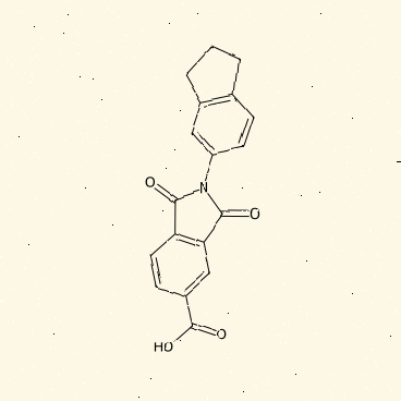 O=C(O)c1ccc2c(c1)C(=O)N(c1ccc3c(c1)CCC3)C2=O